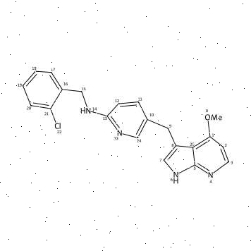 COc1ccnc2[nH]cc(Cc3ccc(NCc4ccccc4Cl)nc3)c12